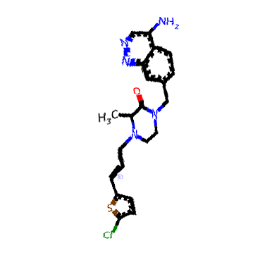 CC1C(=O)N(Cc2ccc3c(N)cnnc3c2)CCN1C/C=C/c1ccc(Cl)s1